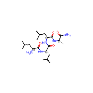 CC(C)C[C@H](NC(=O)[C@H](CC(C)C)NC(=O)[C@@H](N)CC(C)C)C(=O)N[C@@H](C)C(N)=O